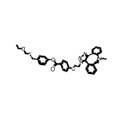 CCOCSCc1ccc(OC(=O)c2ccc(OCCn3nnc4c3-c3ccccc3CN(C)c3ccccc3-4)cc2)cc1